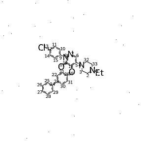 CCN1CCN(c2cnn(-c3ccc(Cl)cc3)c(=O)c2Oc2ccc(-c3ccccc3)cc2)CC1